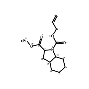 C=CCOC(=O)N1C(C(=O)OCCC)CC2CCCCC21